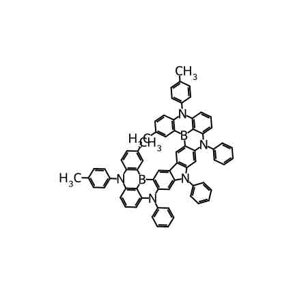 Cc1ccc(N2c3ccc(C)cc3B3c4cc5c6cc7c(cc6n(-c6ccccc6)c5cc4N(c4ccccc4)c4cccc2c43)N(c2ccccc2)c2cccc3c2B7c2cc(C)ccc2N3c2ccc(C)cc2)cc1